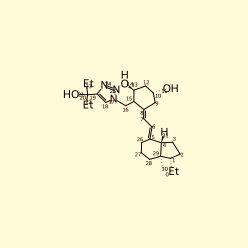 CC[C@H]1CC[C@H]2/C(=C/C=C3\C[C@@H](O)C[C@H](O)C3Cn3cc(C(O)(CC)CC)nn3)CCC[C@]12C